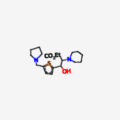 CCOC(=O)C(C(O)c1ccc(CN2CCCC2)s1)N1CCCCC1